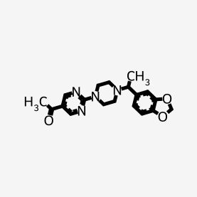 CC(=O)c1cnc(N2CCN(C(C)c3ccc4c(c3)OCO4)CC2)nc1